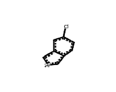 Clc1ccc2c[se]cc2c1